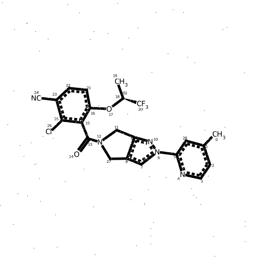 Cc1ccnc(-n2cc3c(n2)CN(C(=O)c2c(O[C@@H](C)C(F)(F)F)ccc(C#N)c2Cl)C3)c1